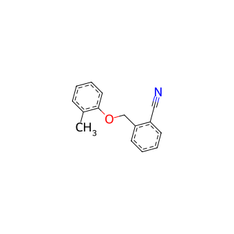 Cc1ccccc1OCc1ccccc1C#N